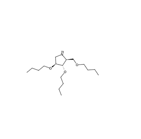 CCCCOC[C@@H]1NC[C@H](OCCCC)[C@H]1OCCCC